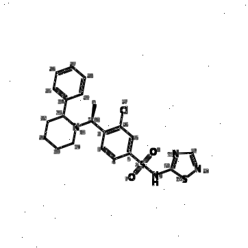 C[C@@H](c1ccc(S(=O)(=O)Nc2ncns2)cc1Cl)N1CCCCC1c1ccccc1